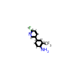 Nc1ccc(-c2ccc(F)nc2)cc1C(F)(F)F